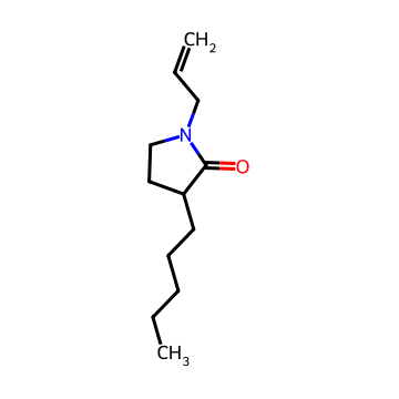 C=CCN1CCC(CCCCC)C1=O